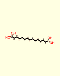 OB(O)CCCCCCCCCCCCCB(O)O